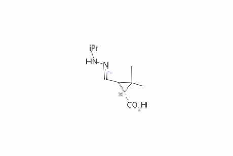 CC(C)N/N=C/C1[C@@H](C(=O)O)C1(C)C